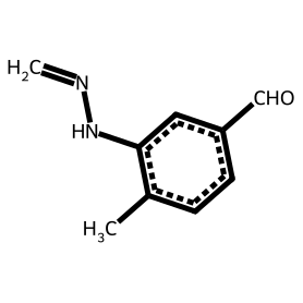 C=NNc1cc(C=O)ccc1C